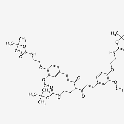 COc1cc(/C=C/C(=O)C(CCNC(=O)OC(C)(C)C)C(=O)/C=C/c2ccc(OCCNC(=O)OC(C)(C)C)c(OC)c2)ccc1OCCNC(=O)OC(C)(C)C